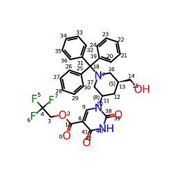 O=C(OCC(F)(F)F)c1cn([C@@H]2C[C@H](CO)CN(C(c3ccccc3)(c3ccccc3)c3ccccc3)C2)c(=O)[nH]c1=O